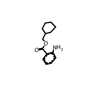 Nc1ccccc1C(=O)OCC1CCCCC1